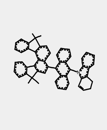 CC1(C)c2ccccc2-c2c1ccc1c(-c3c4ccccc4c(-n4c5c(c6ccccc64)CCC=C5)c4ccccc34)cc3c(c21)-c1ccccc1C3(C)C